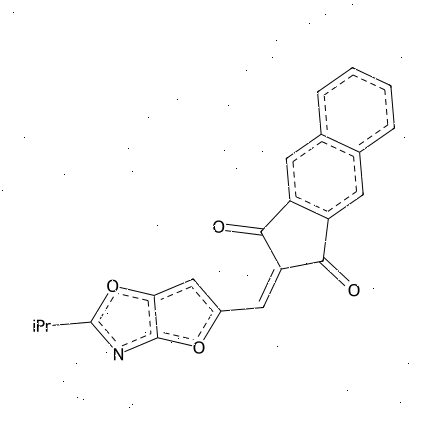 CC(C)c1nc2oc(C=C3C(=O)c4cc5ccccc5cc4C3=O)cc2o1